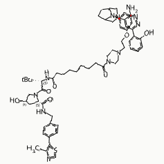 Cc1ncsc1-c1ccc(CNC(=O)[C@@H]2C[C@@H](O)CN2C(=O)[C@@H](NC(=O)CCCCCCCC(=O)N2CCN(CCOc3cccc(N4C5CCC4CN(c4cc(-c6ccccc6O)nnc4N)C5)c3)CC2)C(C)(C)C)cc1